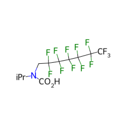 CC(C)N(CC(F)(F)C(F)(F)C(F)(F)C(F)(F)C(F)(F)C(F)(F)F)C(=O)O